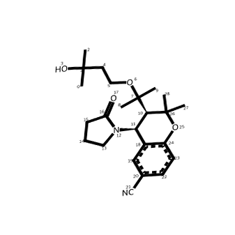 CC(C)(O)CCOC(C)(C)[C@@H]1[C@H](N2CCCC2=O)c2cc(C#N)ccc2OC1(C)C